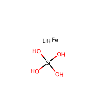 O[Si](O)(O)O.[Fe].[LiH]